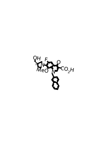 COc1c(N2CC[C@@H](CO)C2)c(F)cc2c(=O)c(C(=O)O)cn(Cc3ccc4ccccc4c3)c12